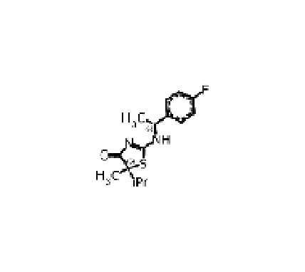 CC(C)[C@]1(C)SC(N[C@@H](C)c2ccc(F)cc2)=NC1=O